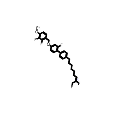 CCOc1ccc(COc2ccc(-c3ccc(CCCCCC/C=C(/F)CF)cc3)c(F)c2)c(F)c1F